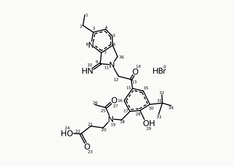 Br.CCc1ccc2c(n1)C(=N)N(CC(=O)c1cc(CN(CCC(=O)O)C(C)=O)c(O)c(C(C)(C)C)c1)C2